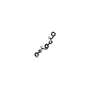 O=C(CC1CCCCC1)N1CCC(c2ccc(NC(=O)N3CC(c4cccnc4)C3)cc2)C1